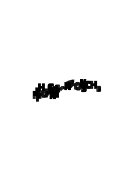 Cc1nc2cc(C34CC3CN(CCCSc3nnc(-c5ccc(C(F)(F)F)cc5)n3C)C4)ccc2s1